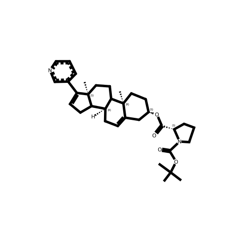 CC(C)(C)OC(=O)N1CCC[C@H]1C(=O)O[C@H]1CC[C@@]2(C)C(=CC[C@@H]3C2CC[C@]2(C)C(c4cccnc4)=CCC32)C1